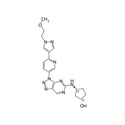 COCCn1cc(-c2ccc(-n3nnc4cnc(N[C@H]5CC[C@H](O)C5)nc43)cn2)cn1